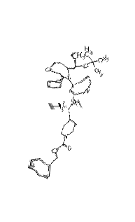 C[C@H](Nc1nccc(N2C(=O)OCC2[C@@H](C)OC(C)(C)C)n1)C1CCN(C(=O)OCc2ccccc2)CC1